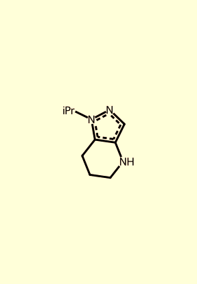 CC(C)n1ncc2c1CCCN2